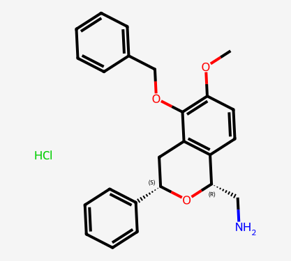 COc1ccc2c(c1OCc1ccccc1)C[C@@H](c1ccccc1)O[C@H]2CN.Cl